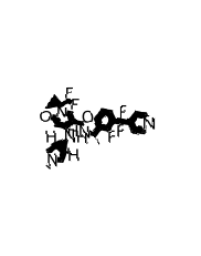 C[C@H](NC(=O)c1cn(C2(C(F)F)CC2)c(=O)cc1N[C@@H]1[C@@H]2CN(C)C[C@@H]21)c1cccc(C(F)(F)c2ccncc2)c1F